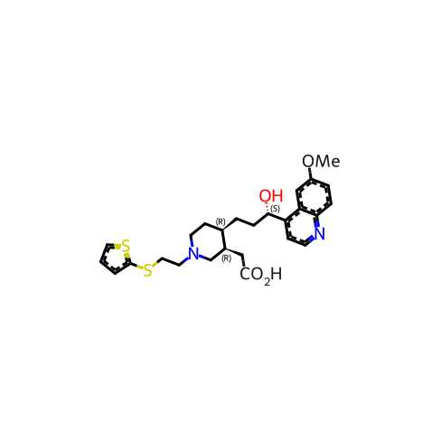 COc1ccc2nccc([C@@H](O)CC[C@@H]3CCN(CCSc4cccs4)C[C@@H]3CC(=O)O)c2c1